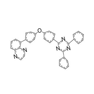 c1ccc(-c2nc(-c3ccccc3)nc(-c3ccc(Oc4ccc(-c5cccc6nccnc56)cc4)cc3)n2)cc1